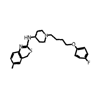 Cc1ccc2c(c1)CSC(NC1CCN(CCCCOc3ccc(F)cc3)CC1)=N2